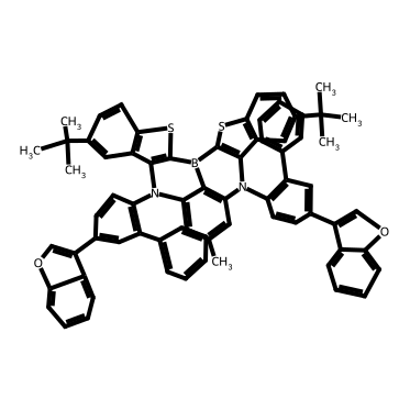 Cc1cc2c3c(c1)N(c1ccc(-c4coc5ccccc45)cc1-c1ccccc1)c1c(sc4ccc(C(C)(C)C)cc14)B3c1sc3ccc(C(C)(C)C)cc3c1N2c1ccc(-c2coc3ccccc23)cc1-c1ccccc1